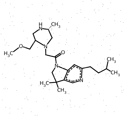 COCC1CN[C@H](C)CN1CC(=O)N1CC(C)(C)c2cnc(CCC(C)C)cc21